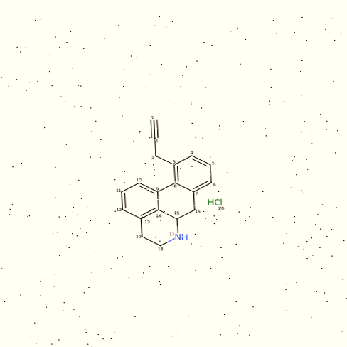 C#CCc1cccc2c1-c1cccc3c1C(C2)NCC3.Cl